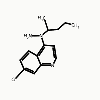 CCCC(C)N(N)c1ccnc2cc(Cl)ccc12